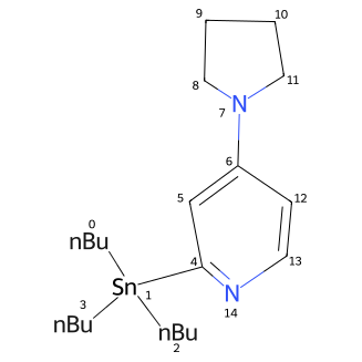 CCC[CH2][Sn]([CH2]CCC)([CH2]CCC)[c]1cc(N2CCCC2)ccn1